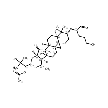 CC(=O)O[C@@H]([C@H]1C[C@@H](C)[C@H]2[C@H](O1)C(=O)[C@@]1(C)[C@@H]3CC[C@H]4C(C)(C)[C@@H](O[C@@H](C=O)OCCO)CC[C@@]45C[C@@]35CC[C@]21C)C(C)(C)O